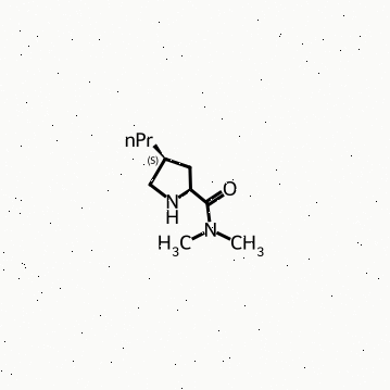 CCC[C@@H]1CNC(C(=O)N(C)C)C1